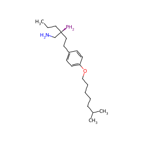 CCC[C@@](P)(CN)CCc1ccc(OCCCCCC(C)C)cc1